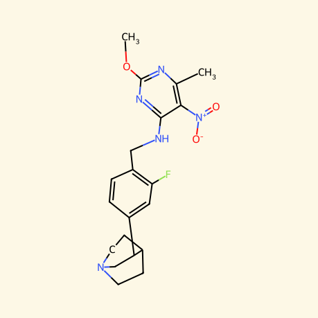 COc1nc(C)c([N+](=O)[O-])c(NCc2ccc(C3CN4CCC3CC4)cc2F)n1